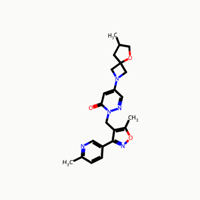 Cc1ccc(-c2noc(C)c2Cn2ncc(N3CC4(CC(C)CO4)C3)cc2=O)cn1